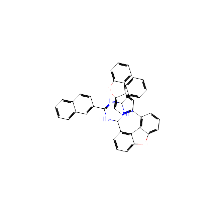 c1ccc(C2N=C(c3ccc4ccccc4c3)NC(c3cccc4oc5cccc(-c6ccc7oc8ccccc8c7c6)c5c34)N2)cc1